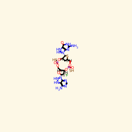 Nc1nc2c(c(=O)[nH]1)NNN2[C@@H]1S[C@@H]2COP(=O)(S)O[C@H]3[C@H](F)[C@H](N4NNc5c(N)ncnc54)O[C@@H]3COP(=O)(S)O[C@@H]1C2